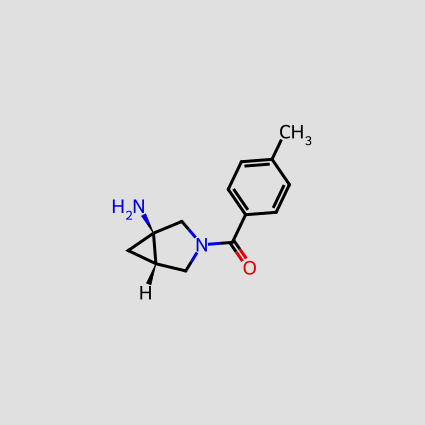 Cc1ccc(C(=O)N2C[C@@H]3C[C@]3(N)C2)cc1